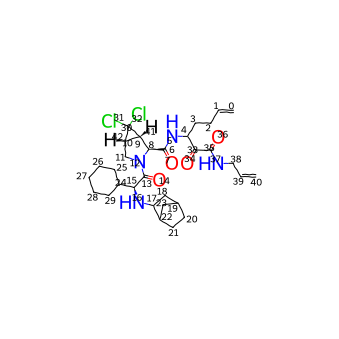 C=CCCC(NC(=O)[C@@H]1[C@@H]2[C@H](CN1C(=O)[C@@H](NC1CC3CCC1C3)C1CCCCC1)C2(Cl)Cl)C(=O)C(=O)NCC=C